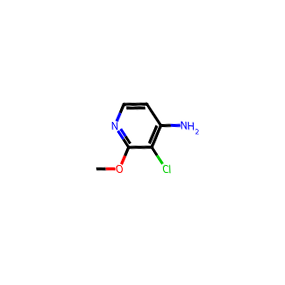 COc1nccc(N)c1Cl